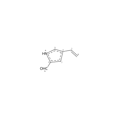 C=Cc1c[nH]c(C=O)c1